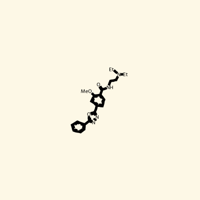 CCN(CC)CCNC(=O)c1ccc(-c2nnc(-c3ccccc3)o2)cc1OC